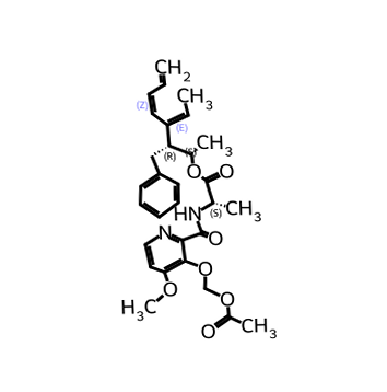 C=C/C=C\C(=C/C)[C@@H](Cc1ccccc1)[C@H](C)OC(=O)[C@H](C)NC(=O)c1nccc(OC)c1OCOC(C)=O